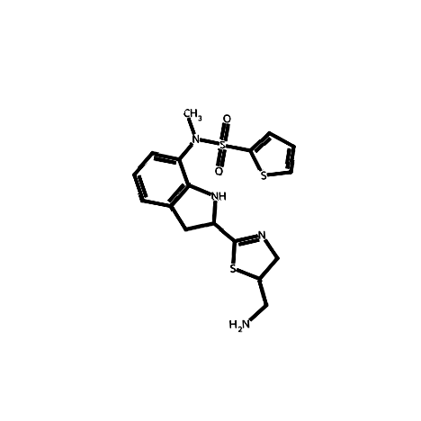 CN(c1cccc2c1NC(C1=NCC(CN)S1)C2)S(=O)(=O)c1cccs1